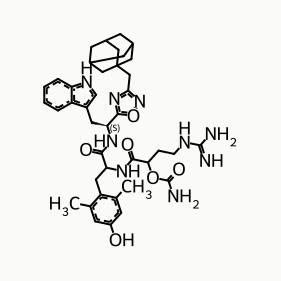 Cc1cc(O)cc(C)c1CC(NC(=O)C(CCNC(=N)N)OC(N)=O)C(=O)N[C@@H](Cc1c[nH]c2ccccc12)c1nc(CC23CC4CC(CC(C4)C2)C3)no1